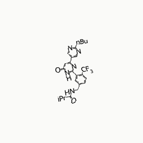 CCCCc1ncc(-c2cc(=O)[nH]c(-c3cc(CNC(=O)C(C)C)ccc3C(F)(F)F)n2)cn1